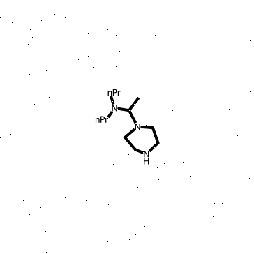 CCCN(CCC)C(C)N1CCNCC1